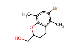 Cc1cc(Br)c(C)c2c1OC(CO)CC2